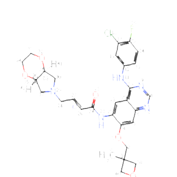 CC1(COc2cc3ncnc(Nc4ccc(F)c(Cl)c4)c3cc2NC(=O)/C=C/CN2C[C@@H]3OCCO[C@H]3C2)COC1